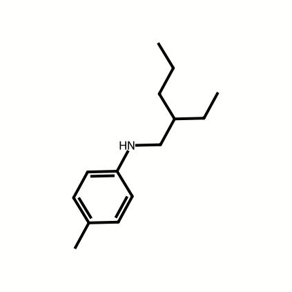 CCCC(CC)CNc1ccc(C)cc1